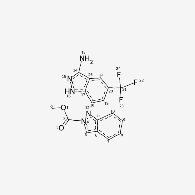 COC(=O)n1cc2ccccc2n1.Nc1n[nH]c2ccc(C(F)(F)F)cc12